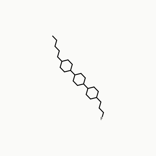 CCCCCC1CCC(C2CCC(C3CCC(CCCF)CC3)CC2)CC1